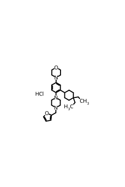 CCC1(CC)CCC(c2cc(N3CCOCC3)ccc2N2CCN(Cc3ccco3)CC2)CC1.Cl